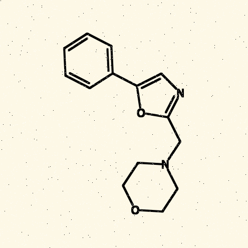 c1ccc(-c2cnc(CN3CCOCC3)o2)cc1